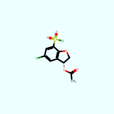 CC(=O)O[C@H]1COc2c1cc(Cl)cc2S(=O)(=O)Cl